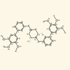 COc1cc(-c2cc(CN3C[C@@H](C)N(Cc4ccnc(-c5cc(OC)c(OC)c(OC)c5)c4)[C@@H](C)C3)ccn2)cc(OC)c1OC